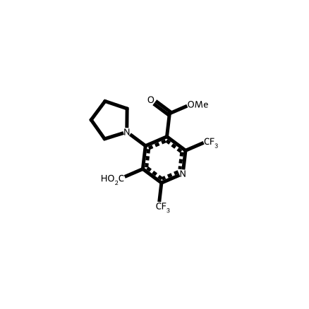 COC(=O)c1c(C(F)(F)F)nc(C(F)(F)F)c(C(=O)O)c1N1CCCC1